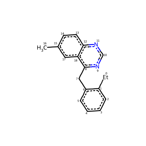 CCc1ccccc1Cc1ncnc2ccc(C)cc12